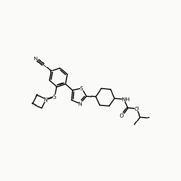 CC(C)OC(=O)NC1CCC(c2ncc(-c3ccc(C#N)cc3SN3CCC3)s2)CC1